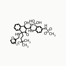 CC(C)(C)CCC1(NCc2ccco2)C(=O)C(C2=NS(O)(O)c3cc(NS(C)(=O)=O)ccc3N2)=C(O)c2ccccc21